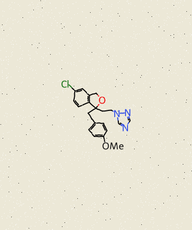 COc1ccc(CC2(CCn3cncn3)OCc3cc(Cl)ccc32)cc1